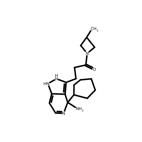 CC1CN(C(=O)CCC2=C3C(=CC=NC3(N)C3CCCCC3)NN2)C1